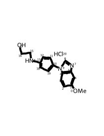 COc1ccc2c(c1)ncn2-c1ccc(NCCO)cc1.Cl